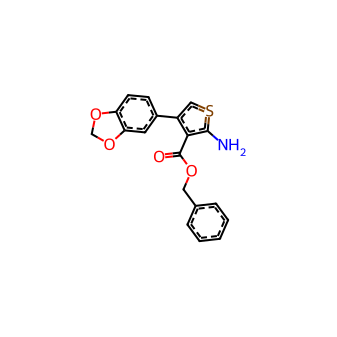 Nc1scc(-c2ccc3c(c2)OCO3)c1C(=O)OCc1ccccc1